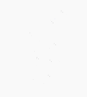 CCS(=O)(=O)c1cc(/N=C/N)cnc1-c1nc2cc(C)cnc2n1C